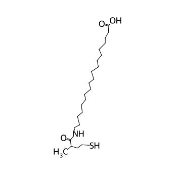 CC(CCS)C(=O)NCCCCCCCCCCCCCCCCCCC(=O)O